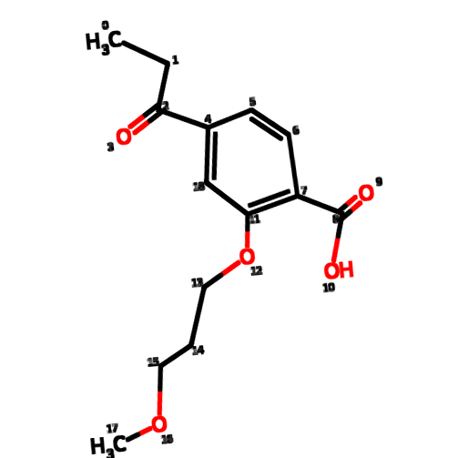 CCC(=O)c1ccc(C(=O)O)c(OCCCOC)c1